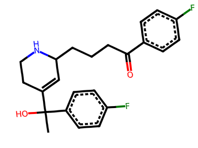 CC(O)(C1=CC(CCCC(=O)c2ccc(F)cc2)NCC1)c1ccc(F)cc1